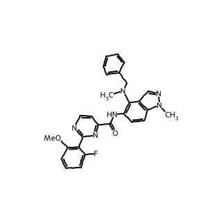 COc1cccc(F)c1-c1nccc(C(=O)Nc2ccc3c(cnn3C)c2N(C)Cc2ccccc2)n1